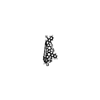 N#Cc1c2c(c(C#N)c3ccccc13)C1CC3=C4C=C1CC1=C2CC2C(=O)C(=O)C5=C(C=C6CC7=C(CC(C(=O)C3=O)C(=C7)C4)c3c(c(C#N)c4ccccc4c3C#N)C6C5)CC2=C1